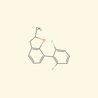 [CH2]C1Cc2cccc(-c3c(F)cccc3F)c2O1